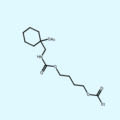 CCC(=O)OCCCCOC(=O)NCC1(OC(C)=O)CCCCC1